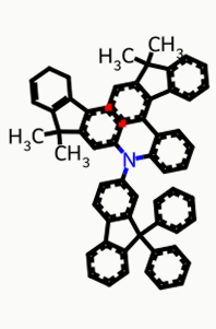 CC1(C)C2=C(CCC=C2)c2ccc(N(c3ccc4c(c3)C(c3ccccc3)(c3ccccc3)c3ccccc3-4)c3ccccc3-c3cccc4c3-c3ccccc3C4(C)C)cc21